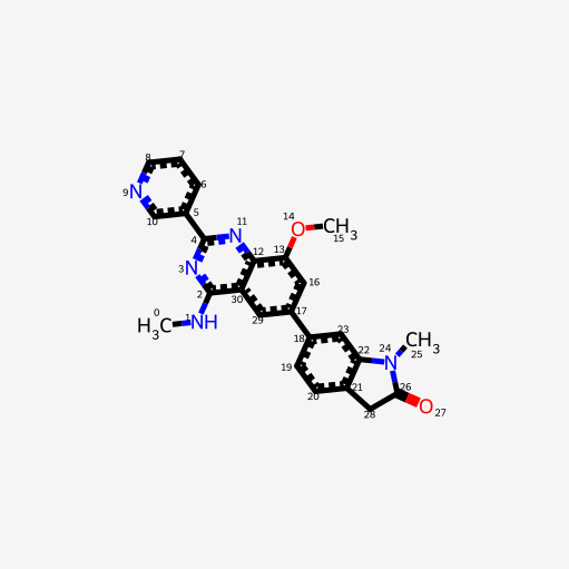 CNc1nc(-c2cccnc2)nc2c(OC)cc(-c3ccc4c(c3)N(C)C(=O)C4)cc12